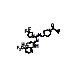 C=C/C(=N\C(=N/CC1CCN(C(=O)C2CC2)CC1)N1CCC(F)(F)C1)Nc1cc(C(F)(F)F)ccn1